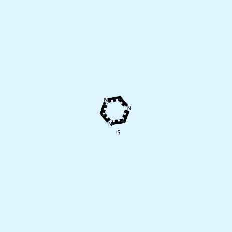 [S].c1ncncn1